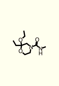 CCOC1(CC)CN(C(=O)NC)CCO1